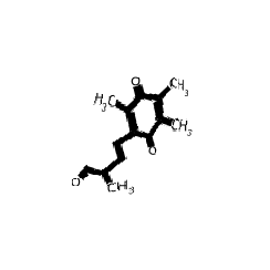 CC1=C(C)C(=O)C(CCC(C)[C]=O)=C(C)C1=O